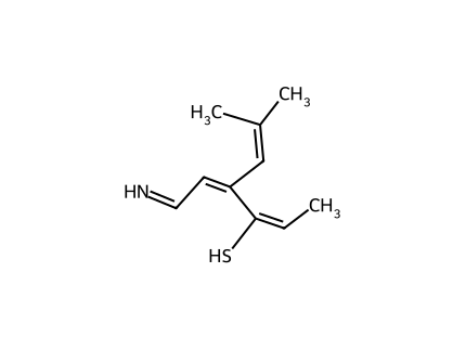 C/C=C(S)\C(C=C(C)C)=C/C=N